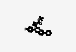 CC(C)(C)OC(=O)N1CC[C@@H]1C(=O)N(Cc1ccc(C2CCCCC2)cn1)c1ccc(F)cc1